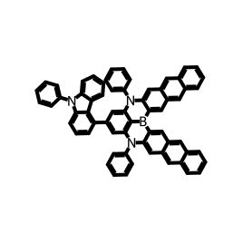 c1ccc(N2c3cc4cc5ccccc5cc4cc3B3c4cc5cc6ccccc6cc5cc4N(c4ccccc4)c4cc(-c5cccc6c5c5ccccc5n6-c5ccccc5)cc2c43)cc1